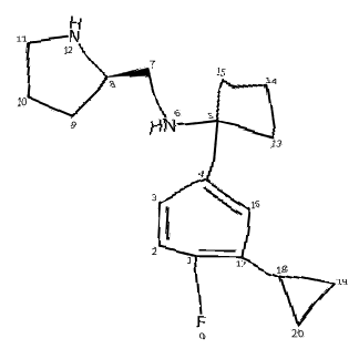 Fc1ccc(C2(NC[C@H]3CCCN3)CCC2)cc1C1CC1